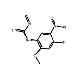 C=NC(=N)Nc1cc([N+](=O)[O-])c(F)cc1OC